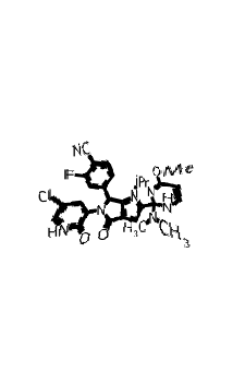 COC1=NC(c2cc3c(n2C(C)C)C(c2ccc(C#N)c(F)c2)N(c2cc(Cl)c[nH]c2=O)C3=O)(N(C)C)NC=C1